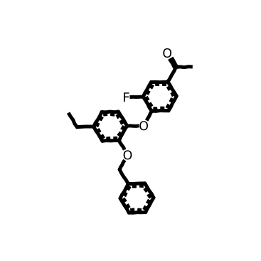 CCc1ccc(Oc2ccc(C(C)=O)cc2F)c(OCc2ccccc2)c1